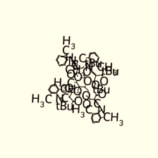 Cc1cccc(C)c1N=C=C(C(=O)OCC(OC(=O)C(=C=Nc1c(C)cccc1C)C(=O)C(C)(C)C)C(OC(=O)C(=C=Nc1c(C)cccc1C)C(=O)C(C)(C)C)C(C)OC(=O)C(=C=Nc1c(C)cccc1C)C(=O)C(C)(C)C)C(=O)C(C)(C)C